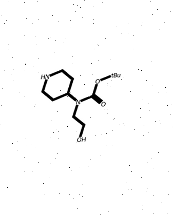 CC(C)(C)OC(=O)N(CCO)C1CCNCC1